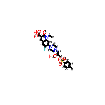 CCN1C(=O)C(C(=O)O)Cc2cc(F)c(N3CCN(CC(O)COS(=O)(=O)c4ccc(C)cc4)CC3)cc21